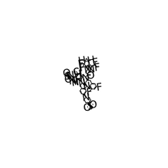 Cn1nc(NS(C)(=O)=O)c2c(Cl)ccc(N3Cc4ccc(N5CCC(S(C)(=O)=O)CC5)cc4N=C3[C@H](Cc3cc(F)cc(F)c3)NC(=O)Cn3nc(C(F)F)c4c3C(F)(F)[C@@H]3C[C@H]43)c21